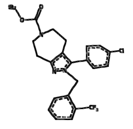 CC(C)(C)OC(=O)N1CCc2nn(Cc3ccccc3C(F)(F)F)c(-c3ccc(Cl)cc3)c2CC1